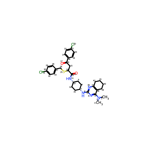 CN(C)c1nc(N[C@H]2CC[C@@H](NC(=O)C(CC(=O)c3ccc(Cl)cc3)SCc3ccc(Cl)cc3)CC2)nc2c1CCCC2